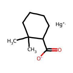 CC1(C)CCCCC1C(=O)[O-].[Hg+]